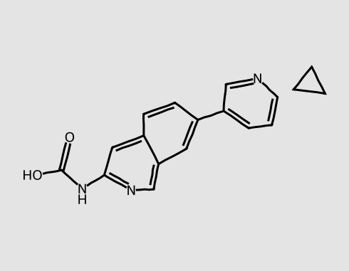 C1CC1.O=C(O)Nc1cc2ccc(-c3cccnc3)cc2cn1